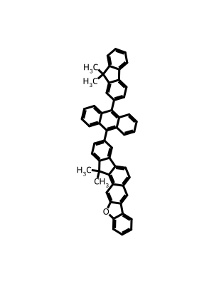 CC1(C)c2ccccc2-c2ccc(-c3c4ccccc4c(-c4ccc5c(c4)-c4ccc6cc7c(cc6c4C5(C)C)oc4ccccc47)c4ccccc34)cc21